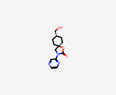 O=C1O[C@]2(CC[C@H](CO)CC2)CN1c1cnccn1